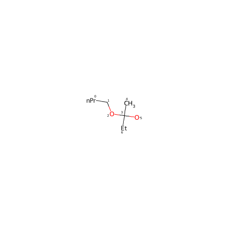 CCCCOC(C)([O])CC